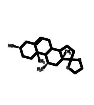 C[C@H]1C[C@@]2(C)C(CCC23OCCO3)C2CC=C3C[C@@H](O)CC[C@]3(C)C21